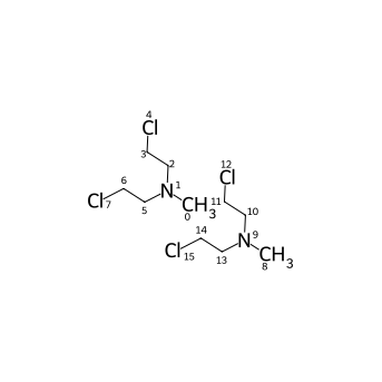 CN(CCCl)CCCl.CN(CCCl)CCCl